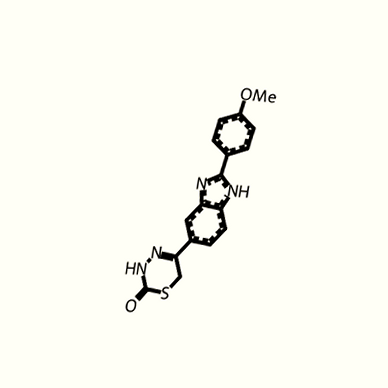 COc1ccc(-c2nc3cc(C4=NNC(=O)SC4)ccc3[nH]2)cc1